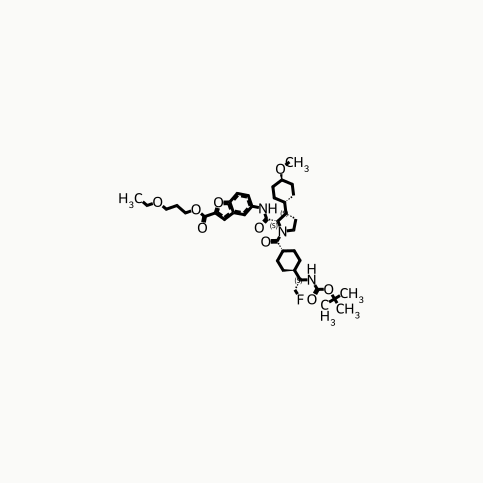 CCOCCCOC(=O)c1cc2cc(NC(=O)[C@@H]3[C@H]([C@H]4CC[C@H](OC)CC4)CCN3C(=O)[C@H]3CC[C@H]([C@@H](CF)NC(=O)OC(C)(C)C)CC3)ccc2o1